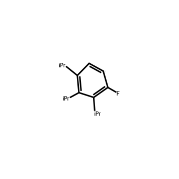 CC(C)c1c[c]c(F)c(C(C)C)c1C(C)C